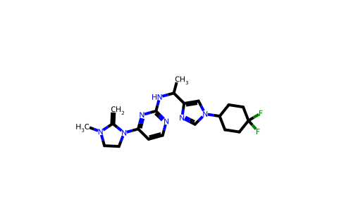 C=C1N(C)CCN1c1ccnc(NC(C)c2cn(C3CCC(F)(F)CC3)cn2)n1